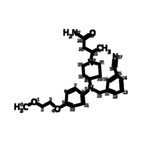 COCCOc1ccc(N(Cc2cccc(C#N)c2)C2CCN(C(C)CC(N)=O)CC2)cc1